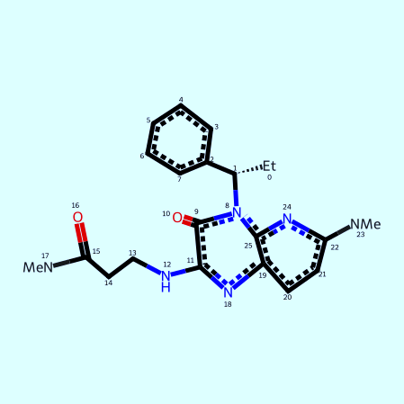 CC[C@@H](c1ccccc1)n1c(=O)c(NCCC(=O)NC)nc2ccc(NC)nc21